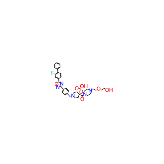 O=C(O)OC1(C(=O)N2CCN(CCOCCO)CC2)CCN(Cc2ccc(-c3noc(-c4ccc(-c5ccccc5)c(F)c4)n3)cc2)CC1